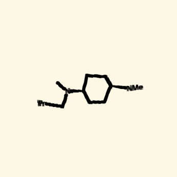 CN[C@H]1CC[C@@H](N(C)CC(C)C)CC1